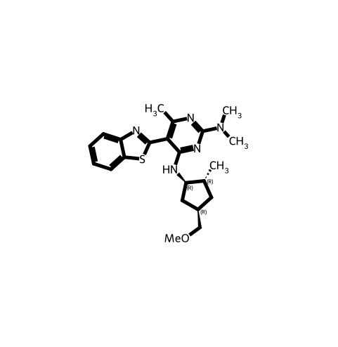 COC[C@@H]1C[C@@H](C)[C@H](Nc2nc(N(C)C)nc(C)c2-c2nc3ccccc3s2)C1